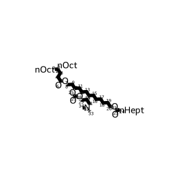 CCCCCCCCC(CCCCCCCC)CCC(=O)OCCC(CCCCCCCCCCOC(=O)CCCCCCC)OC(=O)OCCCN(C)C